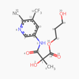 CC(O)(C(=O)Nc1cnc(C#N)c(C(F)(F)F)c1)C(=O)OCCCO